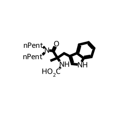 CCCCCN(CCCCC)C(=O)C(C)(Cc1c[nH]c2ccccc12)NC(=O)O